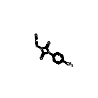 Cc1ccc(N2C(=O)N(N=C=O)C2=O)cc1